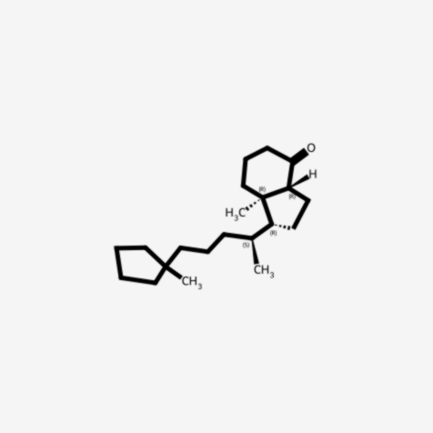 C[C@@H](CCCC1(C)CCCC1)[C@H]1CC[C@H]2C(=O)CCC[C@]12C